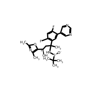 Cc1nc(C)c([C@H](O)CC(C)(N[S+]([O-])C(C)(C)C)c2cc(-c3cncnc3)c(F)cc2F)o1